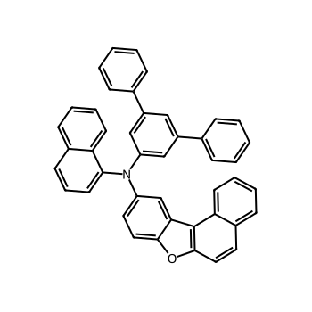 c1ccc(-c2cc(-c3ccccc3)cc(N(c3ccc4oc5ccc6ccccc6c5c4c3)c3cccc4ccccc34)c2)cc1